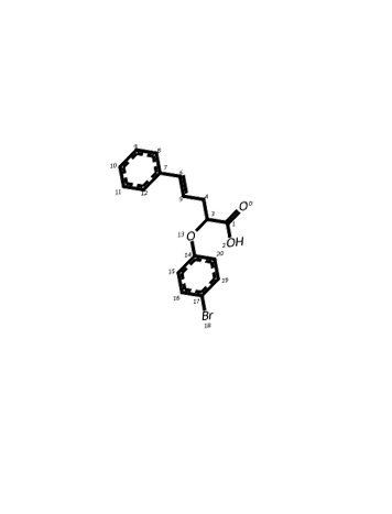 O=C(O)C(CC=Cc1ccccc1)Oc1ccc(Br)cc1